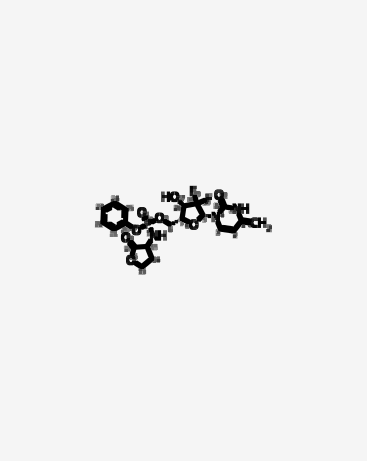 C=C1C=CN([C@@H]2O[C@H](COP(=O)(NC3CCOC3=O)Oc3ccccc3)[C@@H](O)C2(F)F)C(=O)N1